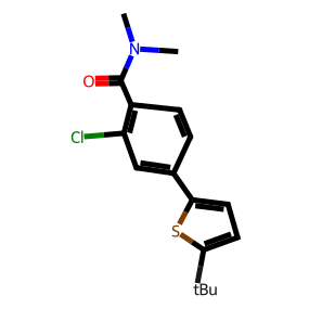 CN(C)C(=O)c1ccc(-c2ccc(C(C)(C)C)s2)cc1Cl